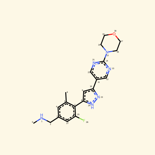 CNCc1cc(C)c(-c2cc(-c3cnc(N4CCOCC4)nc3)n[nH]2)c(F)c1